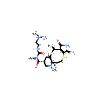 C=C/C1=C(\C(N)=O)C(=C)C[C@H]2C[C@@H](C(=O)N(CCC)C(=O)NCCN(C)C)CN(C)[C@@H]2CCS1